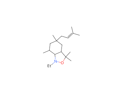 CCN1OC(C)(C)C2CC(C)(CC=C(C)C)CC(C)C21